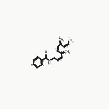 C=C(/C=C\C)/C=C\C(=C)/C=C\CNC(=O)c1ccccc1